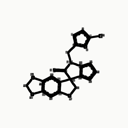 S=C1N(Cc2ccc(Cl)o2)n2cccc2C12COc1cc3c(cc12)OCO3